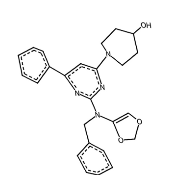 OC1CCN(c2cc(-c3ccccc3)nc(N(Cc3ccccc3)C3=COCO3)n2)CC1